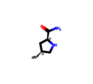 CCC[C@H]1CN[C@H](C(N)=O)C1